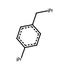 CC(C)[CH]c1ccc(C(C)C)cc1